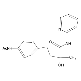 CC(=O)Nc1ccc(CCC(C)(O)C(=O)Nc2ccccn2)cc1